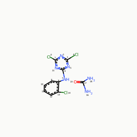 Clc1nc(Cl)nc(Nc2ccccc2Cl)n1.NC(N)=O